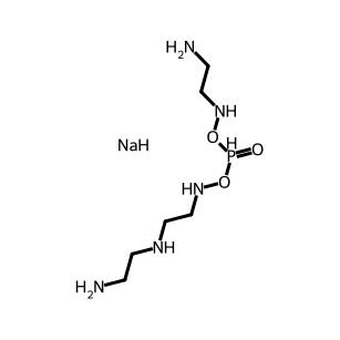 NCCNCCNO[PH](=O)ONCCN.[NaH]